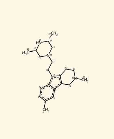 Cc1cnc2c(c1)c1c(n2CCN2C[C@@H](C)N[C@H](C)C2)CCN(C)C1